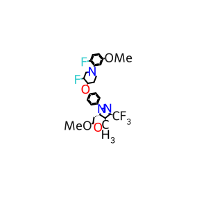 COC(=O)C[C@H]1[C@H](C)C(C(F)(F)F)=NN1c1ccc(OC2CCN(c3cc(OC)ccc3F)CC2F)cc1